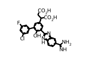 N=C(N)c1ccc2[nH]c(-c3cc(C(CC(=O)O)C(=O)O)cc(-c4cc(F)cc(Cl)c4)c3O)nc2c1